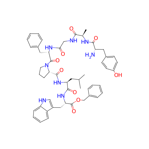 CC(C)C[C@H](NC(=O)[C@@H]1CCCN1C(=O)[C@H](Cc1ccccc1)NC(=O)CNC(=O)[C@@H](C)NC(=O)[C@@H](N)Cc1ccc(O)cc1)C(=O)N[C@@H](Cc1c[nH]c2ccccc12)C(=O)OCc1ccccc1